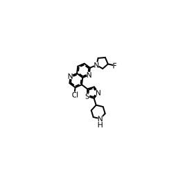 FC1CCN(c2ccc3ncc(Cl)c(-c4cnc(C5CCNCC5)s4)c3n2)C1